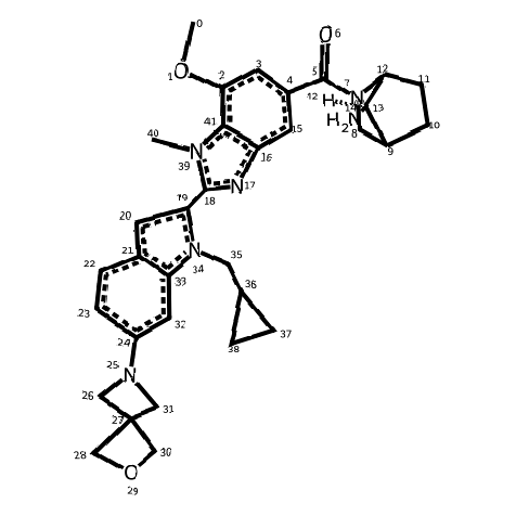 COc1cc(C(=O)N2CC3CCC2[C@@H]3N)cc2nc(-c3cc4ccc(N5CC6(COC6)C5)cc4n3CC3CC3)n(C)c12